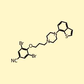 N#Cc1cc(Br)c(OCCCN2CCN(c3cccc4ccsc34)CC2)c(Br)c1